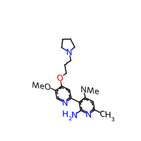 CNc1cc(C)nc(N)c1-c1cc(OCCCN2CCCC2)c(OC)cn1